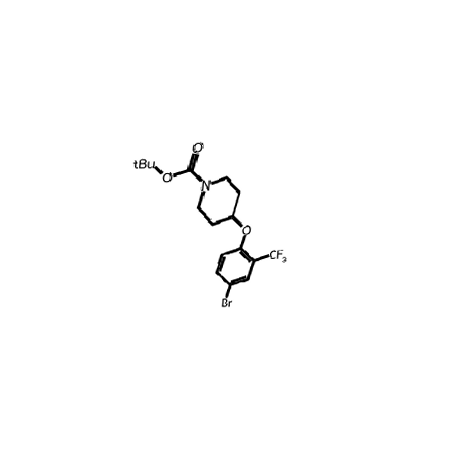 CC(C)(C)OC(=O)N1CCC(Oc2ccc(Br)cc2C(F)(F)F)CC1